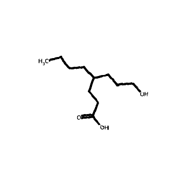 CCCCC(CCCO)CCC(=O)O